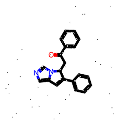 O=C(CC1C(c2ccccc2)=Cc2cncn21)c1ccccc1